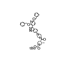 C[C@H]1CN(C(=O)OC(C)(C)C)CC[C@H]1C(=O)N1CCN(c2ccc3c(-c4ccc(OCc5ccccc5)nc4OCc4ccccc4)nn(C)c3c2)CC1